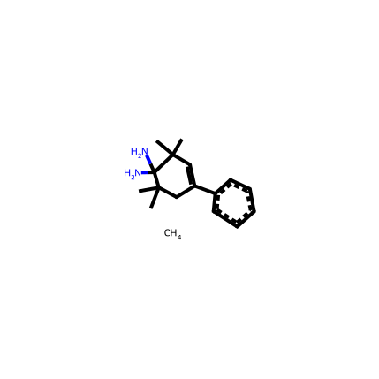 C.CC1(C)C=C(c2ccccc2)CC(C)(C)C1(N)N